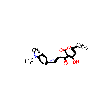 Cc1cc(O)c(C(=O)/C=C/c2ccc(N(C)C)cc2)c(=O)o1